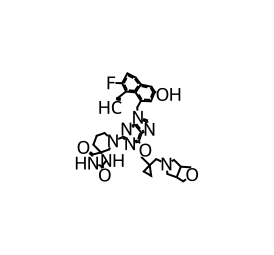 C#Cc1c(F)ccc2cc(O)cc(Cn3cnc4c(OCC5(CN6CC7COCC7C6)CC5)nc(N5CCCC6(C5)NC(=O)NC6=O)nc43)c12